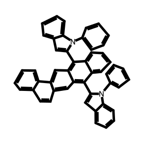 c1ccc(-n2c(-c3c4ccccc4c(-c4cc5ccccc5n4-c4ccccc4)c4cc5c(ccc6ccccc65)cc34)cc3ccccc32)cc1